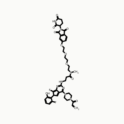 C=CC(=O)N1CCN(c2nc(NCCC(=O)N(C)CCOCCOCCOc3ccc4c(c3)C(=O)N(C3CCC(=O)NC3=O)C4=O)nc3c2=CC(c2c(O)cccc2F)C=3F)CC1